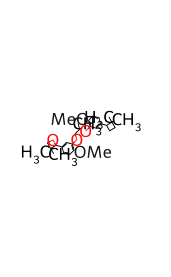 COc1ccc(C2OCC2(C)C)cc1OCC(C)Oc1cc(C2CCC2(C)C)ccc1OC